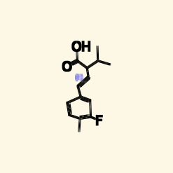 Cc1ccc(/C=C/C(C(=O)O)C(C)C)cc1F